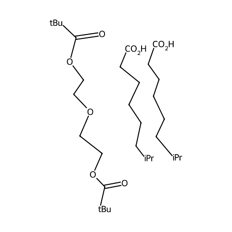 CC(C)(C)C(=O)OCCOCCOC(=O)C(C)(C)C.CC(C)CCCCCC(=O)O.CC(C)CCCCCC(=O)O